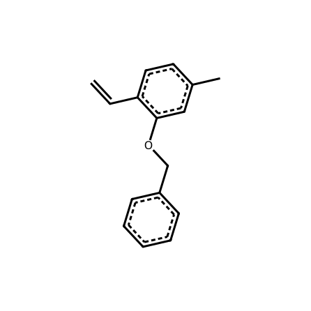 C=Cc1ccc(C)cc1OCc1ccccc1